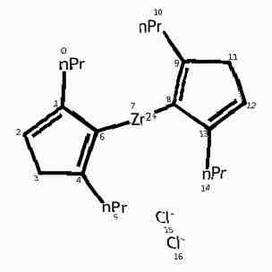 CCCC1=CCC(CCC)=[C]1[Zr+2][C]1=C(CCC)CC=C1CCC.[Cl-].[Cl-]